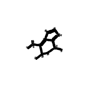 CNC1=C2N=CN=C2N(C)CN1C